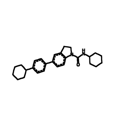 O=C(NC1CCCCC1)N1CCc2cc(-c3ccc(C4CCCCC4)cc3)ccc21